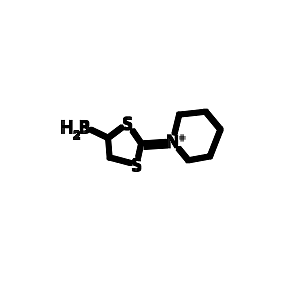 BC1CSC(=[N+]2CCCCC2)S1